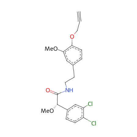 C#CCOc1ccc(CCNC(=O)[C@@H](OC)c2ccc(Cl)c(Cl)c2)cc1OC